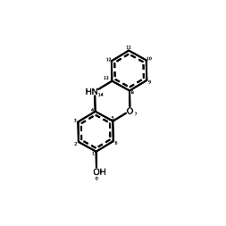 Oc1ccc2c(c1)Oc1ccccc1N2